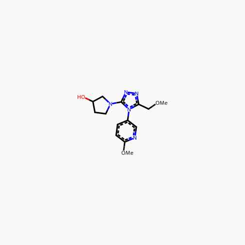 COCc1nnc(N2CCC(O)C2)n1-c1ccc(OC)nc1